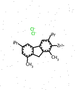 Cc1cc(C(C)C)cc2c1Cc1c-2cc(C(C)C)[c]([Zr+2])c1C.[Cl-].[Cl-]